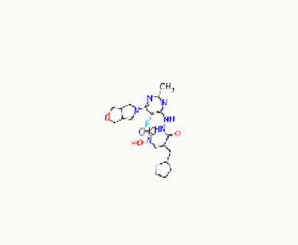 Cc1nc(NNC(=O)[C@@H](CC2CCCC2)CN(O)C=O)c(F)c(N2CC3COCC3C2)n1